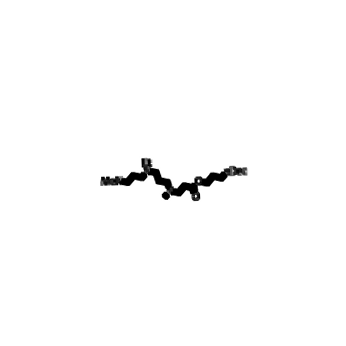 CCCCCCCCCCCCCOC(=O)CCN(C)CCCN(CC)CCCNC